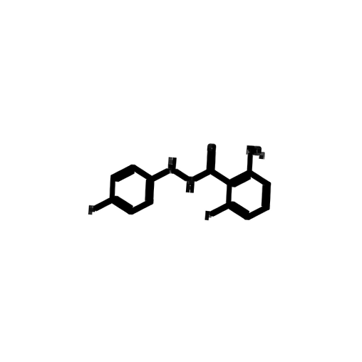 O=C(NNc1ccc(F)cc1)c1c(F)cccc1[N+](=O)[O-]